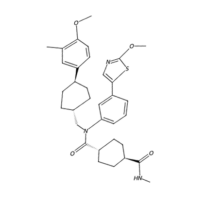 CNC(=O)[C@H]1CC[C@H](C(=O)N(C[C@H]2CC[C@H](c3ccc(OC)c(C)c3)CC2)c2cccc(-c3cnc(OC)s3)c2)CC1